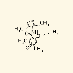 CCCCOc1cc(C)[n+]([O-])c(C)c1C(=O)Nc1c(CC)cccc1CC